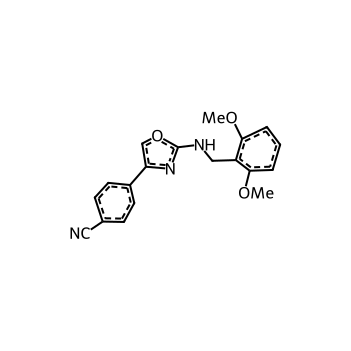 COc1cccc(OC)c1CNc1nc(-c2ccc(C#N)cc2)co1